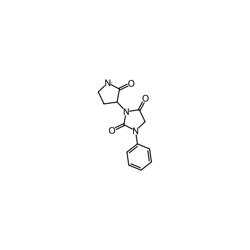 O=C1[N]CCC1N1C(=O)CN(c2ccccc2)C1=O